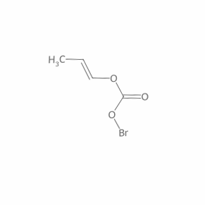 CC=COC(=O)OBr